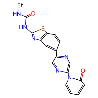 CCNC(=O)Nc1nc2cc(-c3cnc(-n4ccccc4=O)cn3)ccc2s1